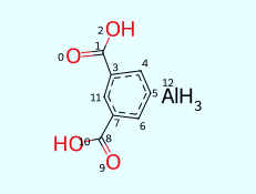 O=C(O)c1cccc(C(=O)O)c1.[AlH3]